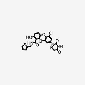 O=C(NCc1cccs1)c1cc(Oc2c(Cl)cc(-n3ncc(=O)[nH]c3=O)cc2Cl)ccc1O